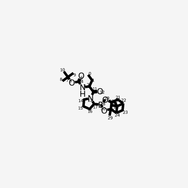 CCC(NC(=O)OC(C)(C)C)C(=O)N1CCCC1B1OC2CC3CC(C3(C)C)C2(C)O1